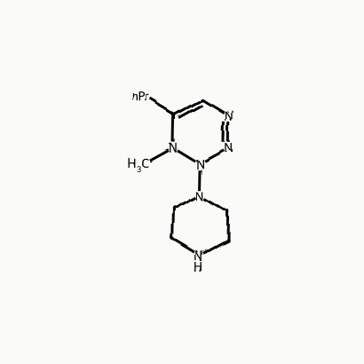 CCCC1=CN=NN(N2CCNCC2)N1C